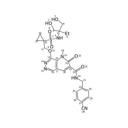 CCC(CO)(CO)NS(=O)(=O)C1(COc2nncc3cc(C(=O)NCc4ccc(C#N)cc4)c(=O)n(C)c23)CC1